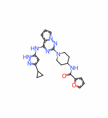 O=C(NC1CCN(c2nc(Nc3cc(C4CC4)n[nH]3)c3cccn3n2)CC1)c1ccco1